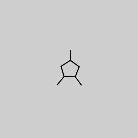 C[C]1CC(C)C(C)C1